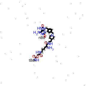 CCCCOc1nc(N)c2[nH]c(=O)n(Cc3ccc(CN4CCC(CCNC(=O)[C@@H](N)CCCCNC(=O)COC(=O)NC(C)(C)C)CC4)cc3)c2n1